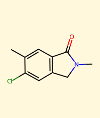 Cc1cc2c(cc1Cl)CN(C)C2=O